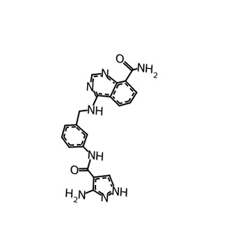 NC(=O)c1cccc2c(NCc3cccc(NC(=O)c4c[nH]nc4N)c3)ncnc12